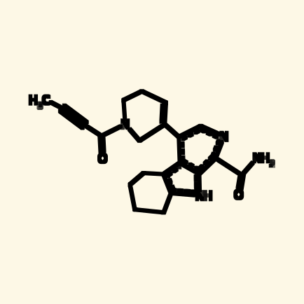 CC#CC(=O)N1CCC=C(c2cnc(C(N)=O)c3[nH]c4c(c23)CCCC4)C1